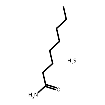 CCCCCCCC(N)=O.S